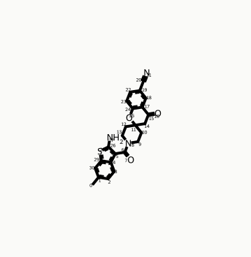 Cc1ccc2c(C(=O)N3CCC4(CC3)CC(=O)c3cc(C#N)ccc3O4)c(N)sc2c1